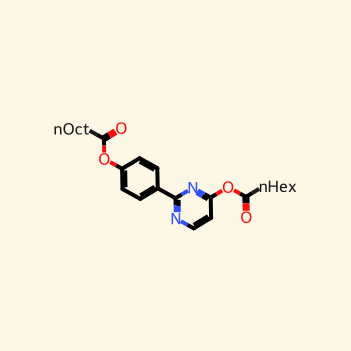 CCCCCCCCC(=O)Oc1ccc(-c2nccc(OC(=O)CCCCCC)n2)cc1